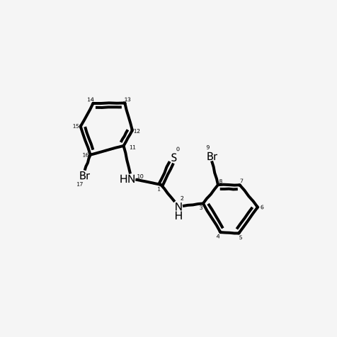 S=C(Nc1ccccc1Br)Nc1ccccc1Br